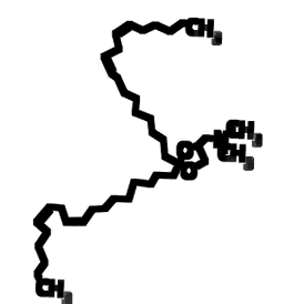 CCCCC/C=C\C/C=C\CCCCCCCCC1(CCCCCCCC/C=C\C/C=C\CCCCC)OCC(CN(C)C)O1